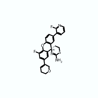 NC1=N[C@]2(CCS1)c1cc(-c3cccnc3F)ccc1Oc1c(F)cc(C3=CCCOC3)cc12